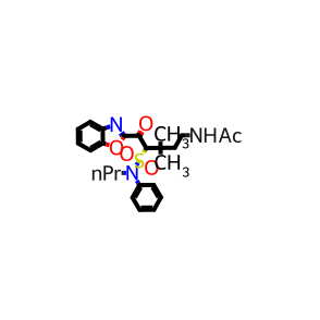 CCCN(c1ccccc1)S(=O)(=O)C(C(=O)c1nc2ccccc2o1)C(C)(C)CCNC(C)=O